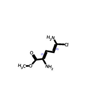 COC(=O)/C(N)=C/C=C(\N)Cl